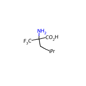 CC(C)CC(N)(C(=O)O)C(F)(F)F